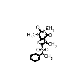 CC(c1ccccc1)S(=O)(=O)c1nc2c(c(=O)n(C)c(=O)n2C)n1C